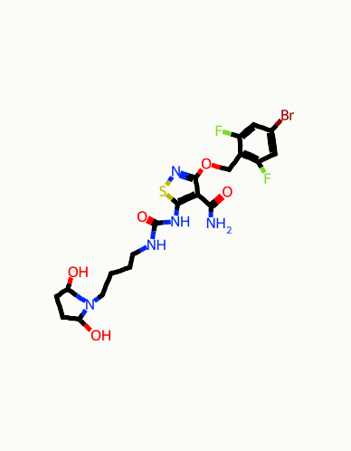 NC(=O)c1c(OCc2c(F)cc(Br)cc2F)nsc1NC(=O)NCCCCN1C(O)CCC1O